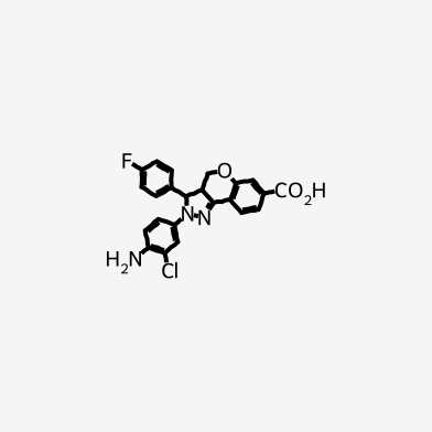 Nc1ccc(N2N=C3c4ccc(C(=O)O)cc4OCC3C2c2ccc(F)cc2)cc1Cl